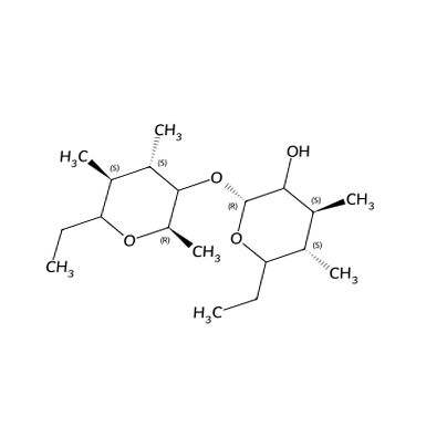 CCC1O[C@H](OC2[C@@H](C)[C@H](C)C(CC)O[C@@H]2C)C(O)[C@@H](C)[C@@H]1C